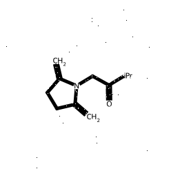 C=C1CCC(=C)N1CC(=O)C(C)C